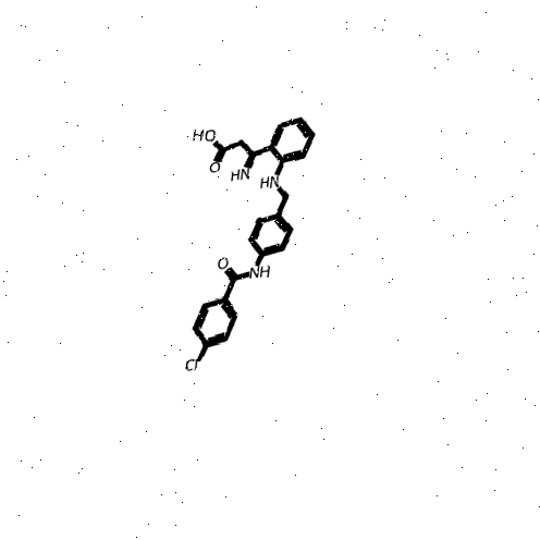 N=C(CC(=O)O)c1ccccc1NCc1ccc(NC(=O)c2ccc(Cl)cc2)cc1